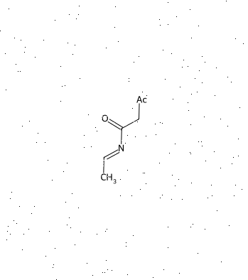 CC=NC(=O)CC(C)=O